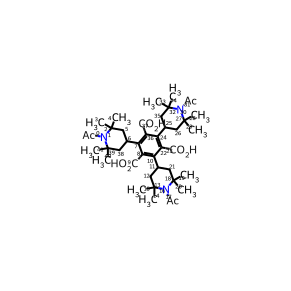 CC(=O)N1C(C)(C)CC(c2c(C(=O)O)c(C3CC(C)(C)N(C(C)=O)C(C)(C)C3)c(C(=O)O)c(C3CC(C)(C)N(C(C)=O)C(C)(C)C3)c2C(=O)O)CC1(C)C